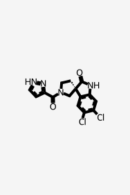 O=C(c1cc[nH]n1)N1CC[C@]2(C1)C(=O)Nc1cc(Cl)c(Cl)cc12